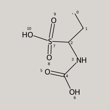 [CH2]CC(NC(=O)O)S(=O)(=O)O